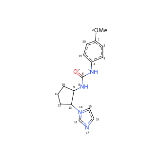 COc1ccc(NC(=O)NC2CCCC2n2ccnc2)cc1